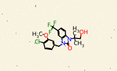 COc1cc(Cn2c(=O)n(C(C)(C)CO)c3ccc(C(F)(F)F)cc32)ccc1Cl